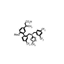 COc1ccc(C(C)CC(=O)O)cc1-c1ccc(C(F)(F)F)cc1CN(Cc1cc(C(F)(F)F)cc(C(F)(F)F)c1)c1nnn(C)n1